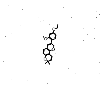 CCOc1ccc(C2=Cc3ccc4c(c3OC2)C=CC(C)(C)O4)c(OC)c1